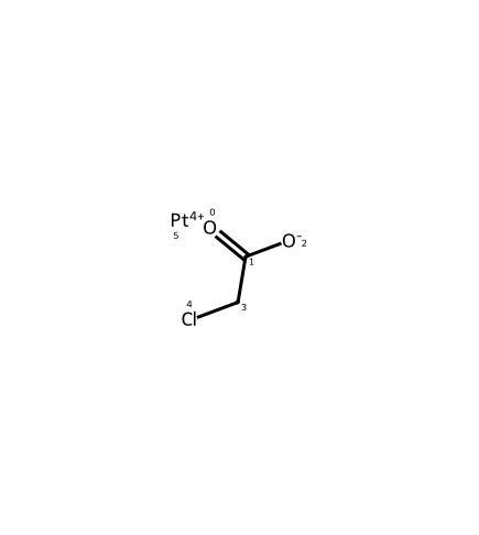 O=C([O-])CCl.[Pt+4]